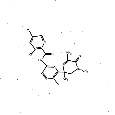 CN1CC(C)(c2cc(NC(=O)c3ncc(Cl)cc3Cl)ccc2F)N=C(N)C1=O